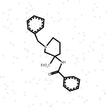 CCOC(=O)C1(NC(=O)c2ccccc2)CCCN(Cc2ccccc2)C1